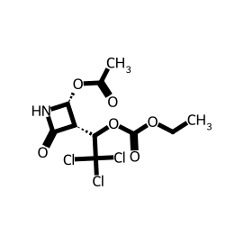 CCOC(=O)OC([C@@H]1C(=O)N[C@@H]1OC(C)=O)C(Cl)(Cl)Cl